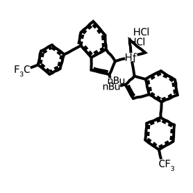 CCCCC1=Cc2c(-c3ccc(C(F)(F)F)cc3)cccc2[CH]1[Hf]1([CH]2C(CCCC)=Cc3c(-c4ccc(C(F)(F)F)cc4)cccc32)[CH2][CH2]1.Cl.Cl